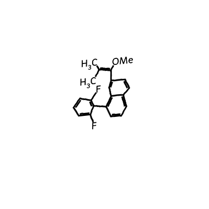 COC(=C(C)C)c1ccc2cccc(-c3c(F)cccc3F)c2c1